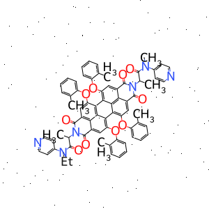 CCN(C(=O)C(C)N1C(=O)c2cc(Oc3ccccc3C)c3c4c(Oc5ccccc5C)cc5c6c(cc(Oc7ccccc7C)c(c7c(Oc8ccccc8C)cc(c2c37)C1=O)c64)C(=O)N(C(C)C(=O)N(C)c1ccncc1)C5=O)c1ccncc1